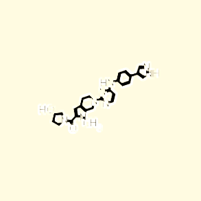 Cn1c(C(=O)N2CC[C@H](O)C2)cc2c1CN(c1nccc(Nc3ccc(-c4cn[nH]c4)cc3)n1)CC2